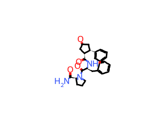 NC(=O)[C@@H]1CCCN1C(=O)[C@H](Cc1ccccc1)NC(=O)[C@@H]1CC(=O)C[C@@H]1c1ccccc1